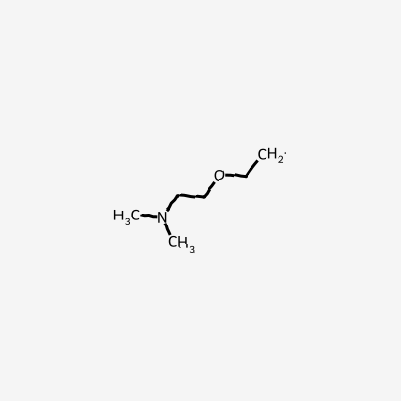 [CH2]COCCN(C)C